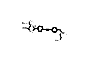 CN[C@H](C)[C@H](NC(=O)c1ccc(C#Cc2ccc(CN(C)CCOC)cc2)cc1)C(=O)OC